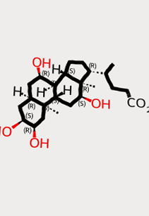 CC(CCC(=O)O)[C@H]1CC[C@H]2[C@@H]3[C@H](O)C[C@@H]4C[C@H](O)[C@H](O)C[C@]4(C)[C@H]3C[C@H](O)[C@]12C